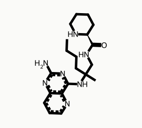 CCCCC(C)(CNC(=O)[C@@H]1CCCCN1)Nc1nc(N)nc2cccnc12